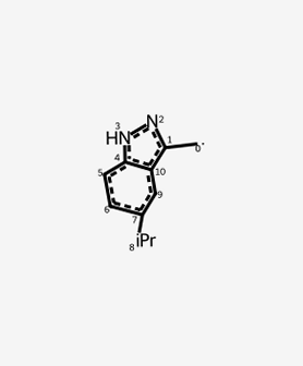 [CH2]c1n[nH]c2ccc(C(C)C)cc12